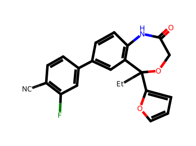 CCC1(c2ccco2)OCC(=O)Nc2ccc(-c3ccc(C#N)c(F)c3)cc21